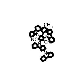 Cc1ccc(-c2c(-n3c4ccccc4c4ccccc43)c(C#N)c(-n3c4ccccc4c4cc(-n5c6ccccc6c6ccccc65)ccc43)c(C#N)c2-n2c3ccccc3c3ccccc32)cc1